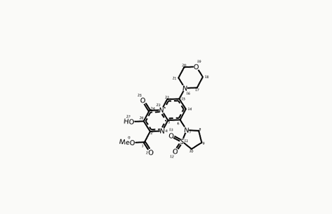 COC(=O)c1nc2c(N3CCCS3(=O)=O)cc(N3CCOCC3)cn2c(=O)c1O